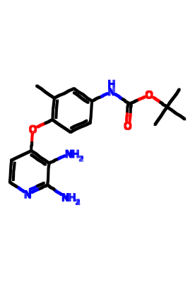 Cc1cc(NC(=O)OC(C)(C)C)ccc1Oc1ccnc(N)c1N